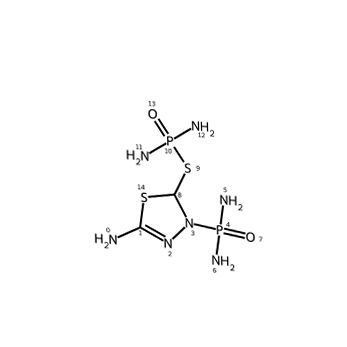 NC1=NN(P(N)(N)=O)C(SP(N)(N)=O)S1